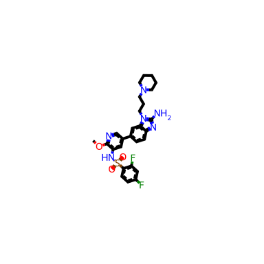 COc1ncc(-c2ccc3nc(N)n(CCCN4CCCCC4)c3c2)cc1NS(=O)(=O)c1ccc(F)cc1F